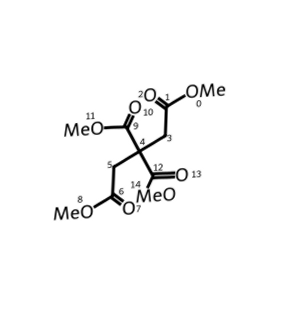 COC(=O)CC(CC(=O)OC)(C(=O)OC)C(=O)OC